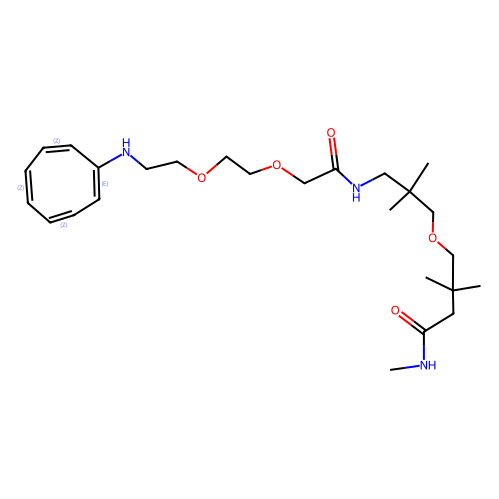 CNC(=O)CC(C)(C)COCC(C)(C)CNC(=O)COCCOCCNC1=C/C=C\C=C/C=C\1